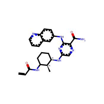 C=CC(=O)NC1CCC[C@@H](Nc2cnc(C(N)=O)c(Nc3ccc4ncccc4c3)n2)[C@H]1C